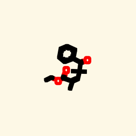 CCOC(=O)C(C)=CC(C)(C)C(=O)c1ccccc1